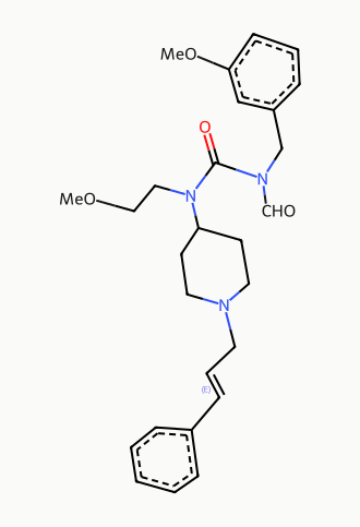 COCCN(C(=O)N(C=O)Cc1cccc(OC)c1)C1CCN(C/C=C/c2ccccc2)CC1